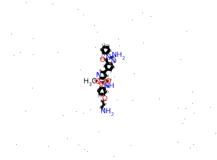 COc1ncc(-c2ccc3nc(N)n(-c4ccccc4)c(=O)c3c2)cc1S(=O)(=O)Nc1cccc(OCCCN)c1